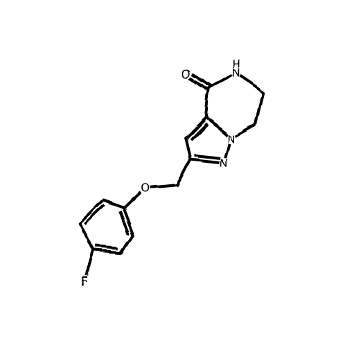 O=C1NCCn2nc(COc3ccc(F)cc3)cc21